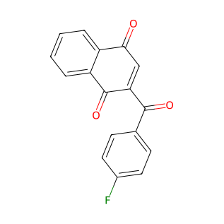 O=C(C1=CC(=O)c2ccccc2C1=O)c1ccc(F)cc1